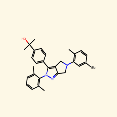 Cc1ccc(C(C)(C)C)cc1N1Cc2nn(-c3c(C)cccc3C)c(-c3ccc(C(C)(C)O)cc3)c2C1